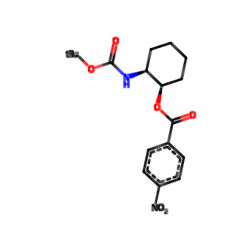 CC(C)(C)OC(=O)N[C@H]1CCCC[C@H]1OC(=O)c1ccc([N+](=O)[O-])cc1